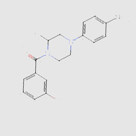 CC1CN(c2ccc([N+](=O)[O-])cc2)CCN1C(=O)c1cccc(Br)c1